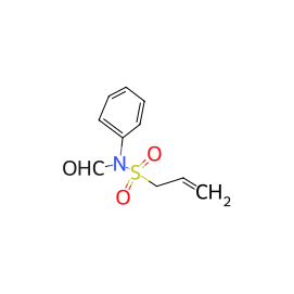 C=CCS(=O)(=O)N(C=O)c1ccccc1